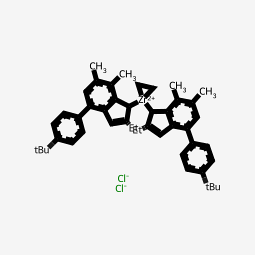 CCC1=Cc2c(-c3ccc(C(C)(C)C)cc3)cc(C)c(C)c2[CH]1[Zr+2]1([CH]2C(CC)=Cc3c(-c4ccc(C(C)(C)C)cc4)cc(C)c(C)c32)[CH2][CH2]1.[Cl-].[Cl-]